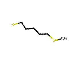 N#CSCCCCC[S]